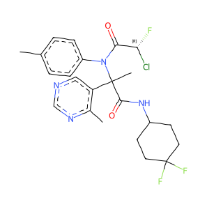 Cc1ccc(N(C(=O)[C@H](F)Cl)C(C)(C(=O)NC2CCC(F)(F)CC2)c2cncnc2C)cc1